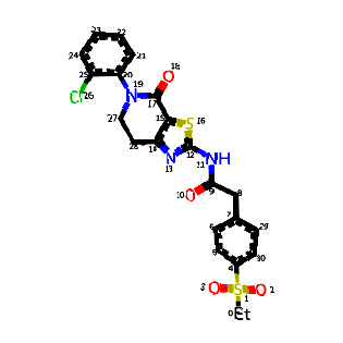 CCS(=O)(=O)c1ccc(CC(=O)Nc2nc3c(s2)C(=O)N(c2ccccc2Cl)CC3)cc1